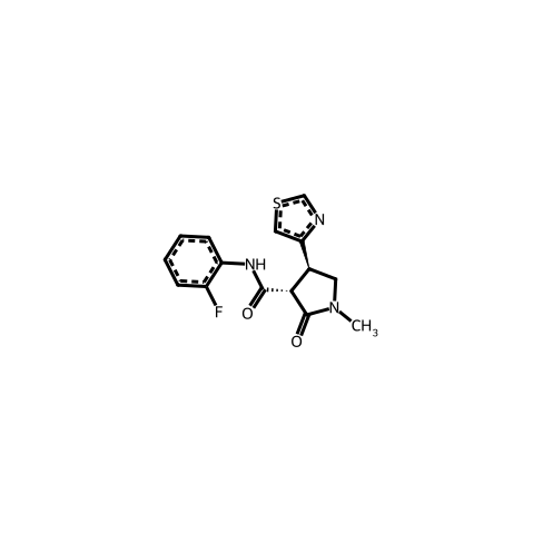 CN1C[C@H](c2cscn2)[C@@H](C(=O)Nc2ccccc2F)C1=O